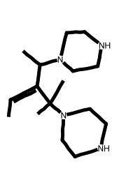 CC=C(C(C)N1CCNCC1)C(C)(C)N1CCNCC1